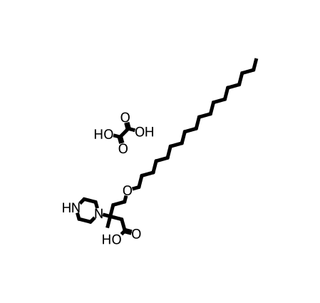 CCCCCCCCCCCCCCCCCCOCCC(C)(CC(=O)O)N1CCNCC1.O=C(O)C(=O)O